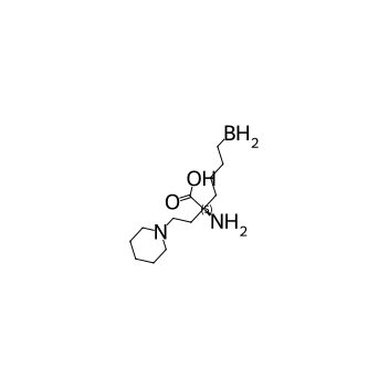 BCCCC[C@](N)(CCN1CCCCC1)C(=O)O